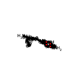 CC(C)[C@H](NC(=O)CCN1C(=O)C=CC1=O)C(=O)N[C@@H](CCCCNC(N)=O)C(=O)Nc1ccc(COC(=O)NCCCC(=O)Nc2ncnc3c2ncn3[C@@H]2O[C@@H]3CO[P@@](=O)(S)O[C@H]4[C@@H](F)[C@H](n5cnc6c(N)ncnc65)O[C@@H]4CO[P@](=O)(S)O[C@H]3[C@H]2F)cc1